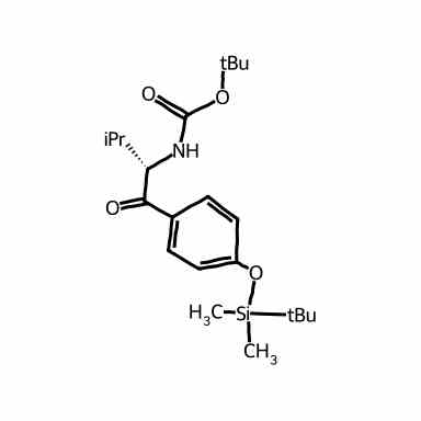 CC(C)[C@H](NC(=O)OC(C)(C)C)C(=O)c1ccc(O[Si](C)(C)C(C)(C)C)cc1